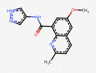 COc1cc(C(=O)Nc2cn[nH]c2)c2nc(C)ccc2c1